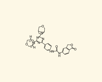 O=C(Nc1ccc(-c2nc(N3C4CCC3COC4)nc(N3[C@@H]4CC[C@H]3COC4)n2)cc1)Nc1ccc2c(c1)COC2=O